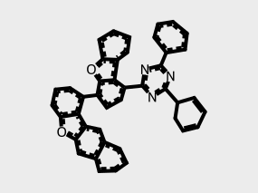 C1=CCC(c2nc(-c3ccccc3)nc(-c3ccc(-c4cccc5oc6cc7ccccc7cc6c45)c4oc5ccccc5c34)n2)C=C1